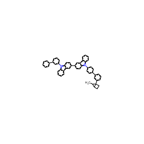 CC1C2CCC12c1cccc(-c2ccc(-n3c4ccccc4c4cc(-c5ccc6c(c5)c5ccccc5n6-c5cccc(-c6ccccc6)c5)ccc43)cc2)c1